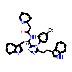 CCc1ccc(-n2c(CCc3c[nH]c4ccccc34)nnc2[C@@H](Cc2c[nH]c3ccccc23)NC(=O)Cc2ccccn2)cc1